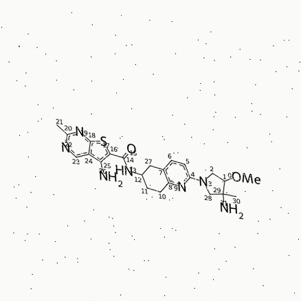 COC1CN(c2ccc3c(n2)CCC(NC(=O)c2sc4nc(C)ncc4c2N)C3)CC1(C)N